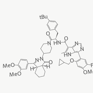 COc1cc(OCC2CC2)c(-c2ncnc3c(C(=O)N[C@H](Cc4ccc(C(C)(C)C)cc4)C(=O)N4CCC(N5N=C(c6ccc(OC)c(OC)c6)[C@H]6CCCC[C@H]6C5=O)CC4)c(C)[nH]c23)cc1F